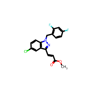 COC(=O)/C=C/c1nn(Cc2ccc(F)cc2F)c2ccc(Cl)cc12